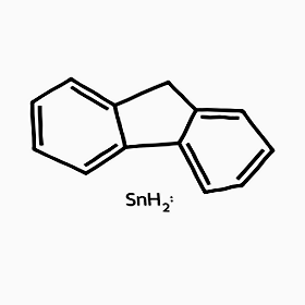 [SnH2].c1ccc2c(c1)Cc1ccccc1-2